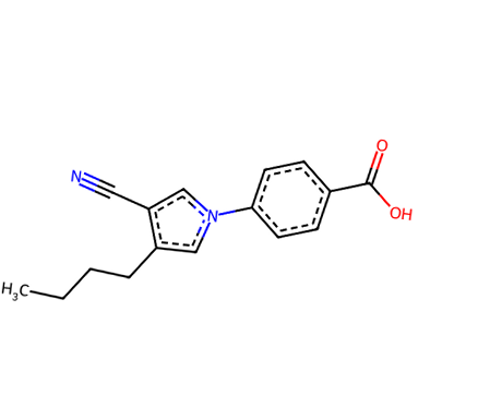 CCCCc1cn(-c2ccc(C(=O)O)cc2)cc1C#N